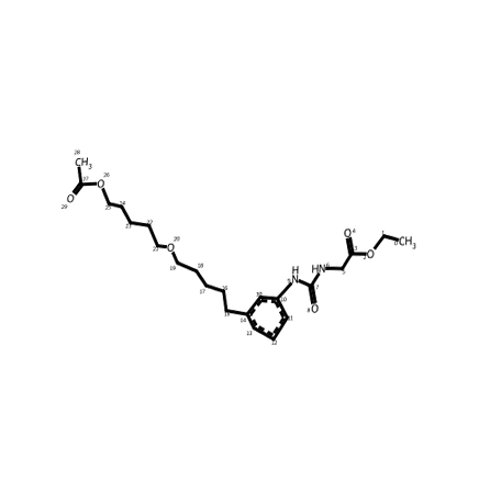 CCOC(=O)CNC(=O)Nc1cccc(CCCCCOCCCCCOC(C)=O)c1